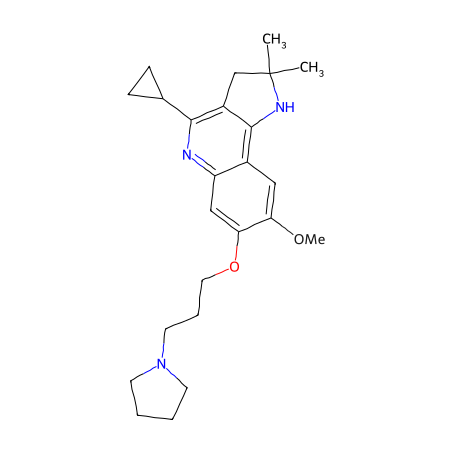 COc1cc2c3c(c(C4CC4)nc2cc1OCCCN1CCCC1)CC(C)(C)N3